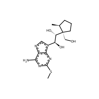 CSc1nc(N)c2ncn([C@H](O)[C@H](O)[C@]3(CO)CCC[C@@H]3C)c2n1